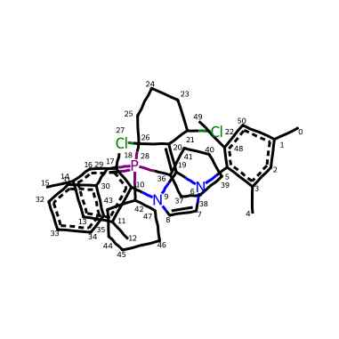 Cc1cc(C)c(N2C=CN(c3c(C)cc(C)cc3C)C2=C2C(Cl)CCCC2(Cl)P(=Cc2ccccc2)(C2CCCCC2)C2CCCCC2)c(C)c1